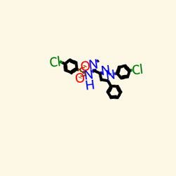 CN=C(NS(=O)(=O)c1ccc(Cl)cc1)C1=NN(c2ccc(Cl)cc2)C(c2ccccc2)C1